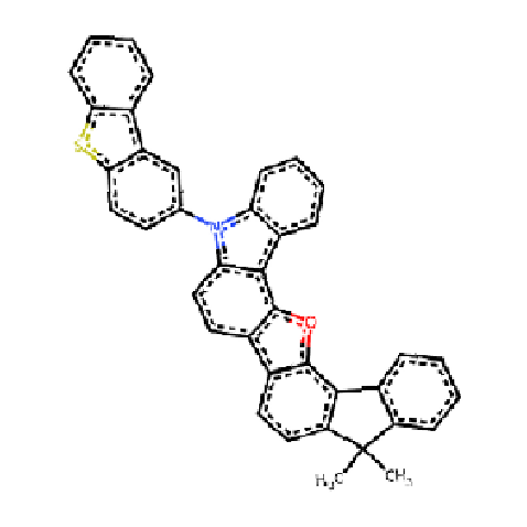 CC1(C)c2ccccc2-c2c1ccc1c2oc2c1ccc1c2c2ccccc2n1-c1ccc2sc3ccccc3c2c1